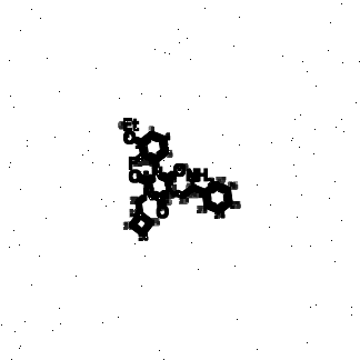 CCOc1cccc(-n2c(=O)n(CC3CCC3)c(=O)n(C[C@H](N)c3ccccc3)c2=O)c1F